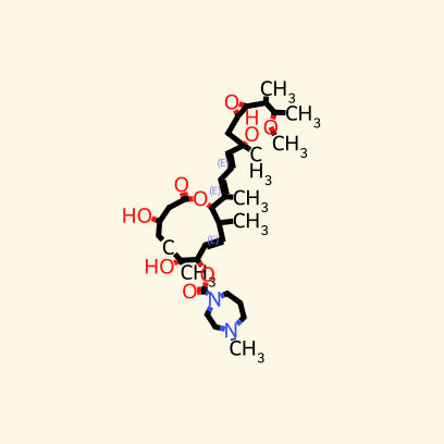 COC(C)C(C)C1OC1CC(C)(O)/C=C/C=C(\C)C1OC(=O)CC(O)CCC(C)(O)C(OC(=O)N2CCCN(C)CC2)/C=C/C1C